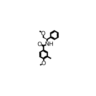 COC[C@H](NC(=O)c1ccc(OC)c(C)c1)c1ccccc1